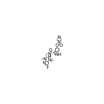 CCN(c1ncc(F)cc1NC(C)(C)C)C1CCN(C(=O)c2c[nH]c3ccc(OC(=O)N4CCN(C)CC4)cc23)CC1